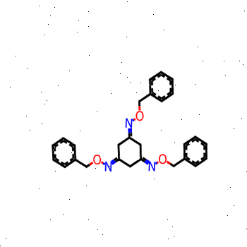 c1ccc(CON=C2CC(=NOCc3ccccc3)CC(=NOCc3ccccc3)C2)cc1